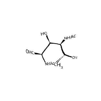 CC(=O)N[C@H]([C@H](O)[C@H](C=O)NC(C)=O)[C@@H](C)O